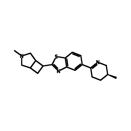 C[C@H]1CCC(c2ccc3sc(C4CC5CN(C)CC54)nc3c2)=NC1